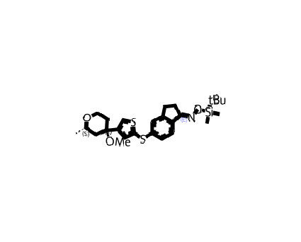 CO[C@]1(c2csc(Sc3ccc4c(c3)CC/C4=N\O[Si](C)(C)C(C)(C)C)c2)CCO[C@@H](C)C1